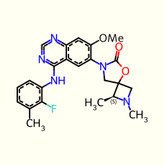 COc1cc2ncnc(Nc3cccc(C)c3F)c2cc1N1CC2(CN(C)[C@H]2C)OC1=O